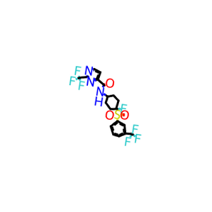 O=C(NC1CCC(F)(S(=O)(=O)c2cccc(C(F)(F)F)c2)CC1)c1ccnc(C(F)(F)F)n1